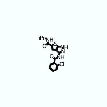 CC(C)NC(=O)c1cc2c(NC(=O)c3ccccc3Cl)n[nH]c2s1